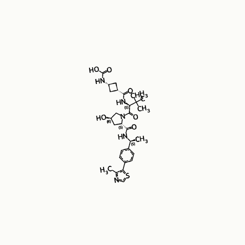 Cc1ncsc1-c1ccc([C@H](C)NC(=O)[C@@H]2C[C@@H](O)CN2C(=O)[C@@H](NC(=O)[C@H]2C[C@@H](NC(=O)O)C2)C(C)(C)C)cc1